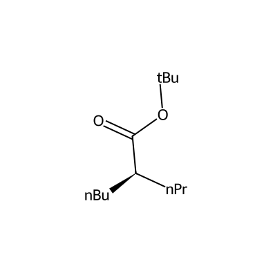 CCCC[C@H](CCC)C(=O)OC(C)(C)C